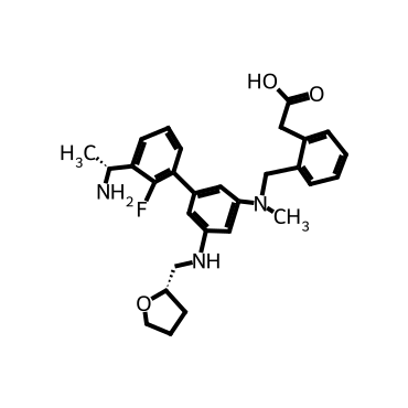 C[C@@H](N)c1cccc(-c2cc(NC[C@@H]3CCCO3)cc(N(C)Cc3ccccc3CC(=O)O)c2)c1F